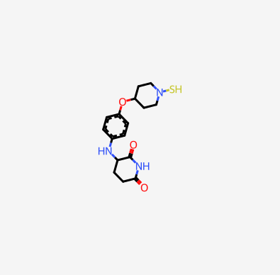 O=C1CCC(Nc2ccc(OC3CCN(S)CC3)cc2)C(=O)N1